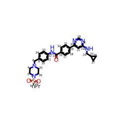 CCCS(=O)(=O)N1CCN(Cc2ccc(NC(=O)c3ccc(-c4cc(NCC5CC5)ncn4)cc3)cc2)CC1